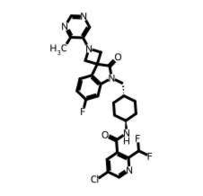 Cc1ncncc1N1CC2(C1)C(=O)N(C[C@H]1CC[C@H](NC(=O)c3cc(Cl)cnc3C(F)F)CC1)c1cc(F)ccc12